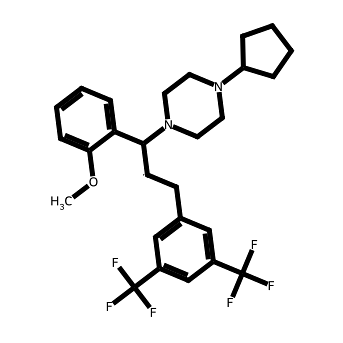 COc1ccccc1C([CH]Cc1cc(C(F)(F)F)cc(C(F)(F)F)c1)N1CCN(C2CCCC2)CC1